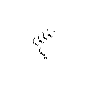 O=NCl.O=NCl.O=NCl.O=NCl.O=NCl.[KH].[Ru]